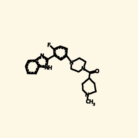 CN1CCC(C(=O)N2CCN(c3ccc(F)c(-c4nc5ccccc5[nH]4)c3)CC2)CC1